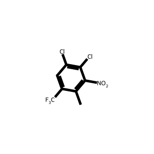 Cc1c(C(F)(F)F)cc(Cl)c(Cl)c1[N+](=O)[O-]